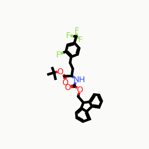 CC(C)(C)OC(=O)C(CCc1ccc(C(F)(F)F)cc1F)NC(=O)OCC1c2ccccc2-c2ccccc21